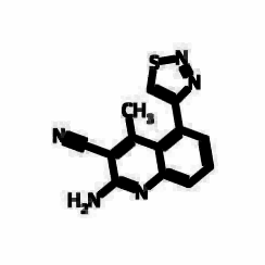 Cc1c(C#N)c(N)nc2cccc(-c3csnn3)c12